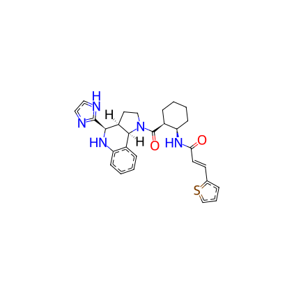 O=C(/C=C/c1cccs1)N[C@@H]1CCCC[C@@H]1C(=O)N1CC[C@@H]2[C@H](c3ncc[nH]3)Nc3ccccc3[C@@H]21